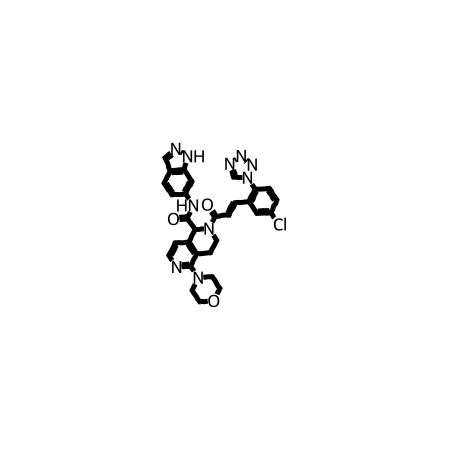 O=C(Nc1ccc2cn[nH]c2c1)C1c2ccnc(N3CCOCC3)c2CCN1C(=O)/C=C/c1cc(Cl)ccc1-n1cnnn1